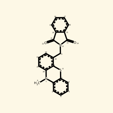 CN1c2ccc[c]c2Sc2c(CN3C(=O)c4ccccc4C3=O)cccc21